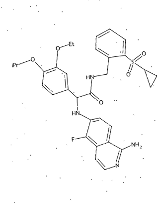 CCOc1cc(C(Nc2ccc3c(N)nccc3c2F)C(=O)NCc2ccccc2S(=O)(=O)C2CC2)ccc1OC(C)C